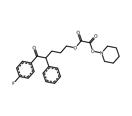 O=C(OCCCC(C(=O)c1ccc(F)cc1)c1ccccc1)C(=O)ON1CCCCC1